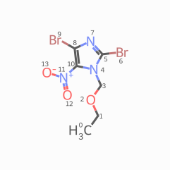 CCOCn1c(Br)nc(Br)c1[N+](=O)[O-]